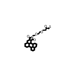 O=C(C=S)CCOCCOCCn1c(=O)c2cc3cccc4c5cccc6cccc(c65)c(c2c1=O)c34